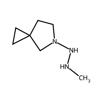 CNNN1CCC2(CC2)C1